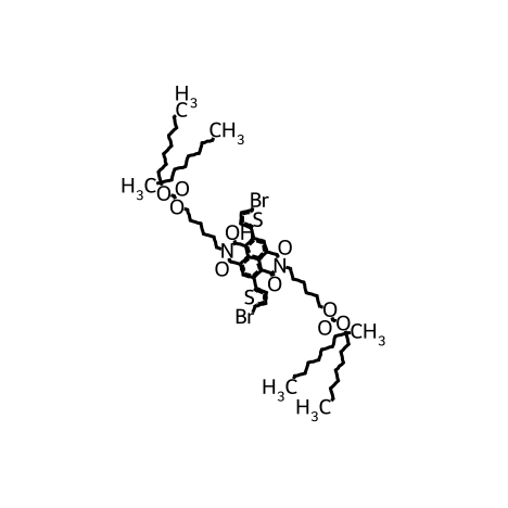 CCCCCCCCC(C)(CCCCCCCC)OC(=O)OCCCCCCN1C(=O)c2cc(-c3ccc(Br)s3)c3c4c(cc(-c5ccc(Br)s5)c(c24)C1=O)C(=O)N(CCCCCCOC(=O)OC(C)(CCCCCCCC)CCCCCCCC)C3O